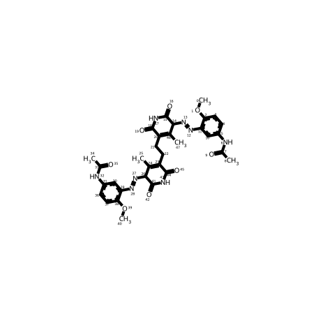 COc1ccc(NC(C)=O)cc1N=NC1C(=O)NC(=O)C(CCC2=C(C)C(N=Nc3cc(NC(C)=O)ccc3OC)C(=O)NC2=O)=C1C